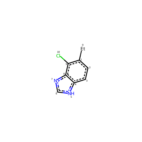 CCc1ccc2[nH][c]nc2c1Cl